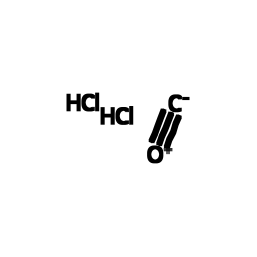 Cl.Cl.[C-]#[O+]